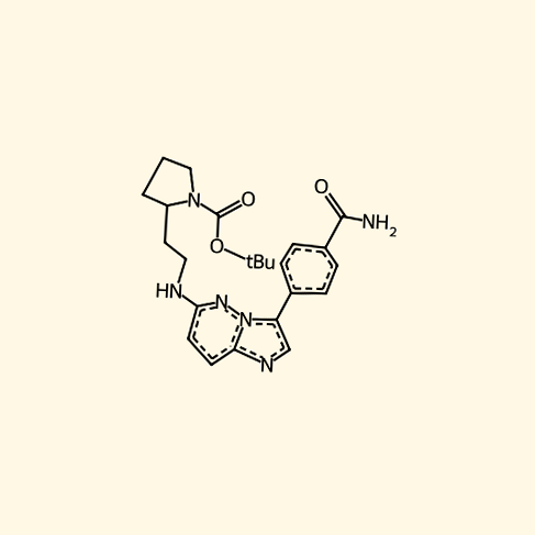 CC(C)(C)OC(=O)N1CCCC1CCNc1ccc2ncc(-c3ccc(C(N)=O)cc3)n2n1